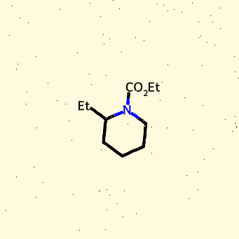 CCOC(=O)N1CCCCC1CC